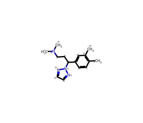 Cc1ccc(C(CCN(C)C)n2nccn2)cc1C